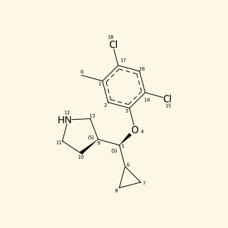 Cc1cc(O[C@@H](C2CC2)[C@H]2CCNC2)c(Cl)cc1Cl